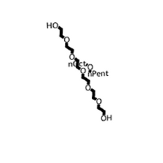 CCCCCCCCOCCCCC.OCCOCCOCCOCCOCCOCCO